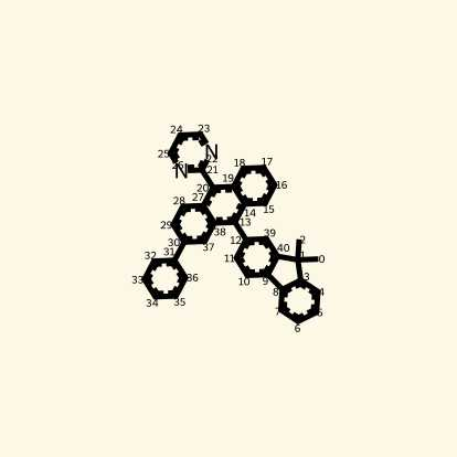 CC1(C)c2ccccc2-c2ccc(-c3c4ccccc4c(-c4ncccn4)c4ccc(-c5ccccc5)cc34)cc21